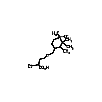 CCC(CCCCC1CC[N+](C)([O-])C(C)(C)C1C)C(=O)O